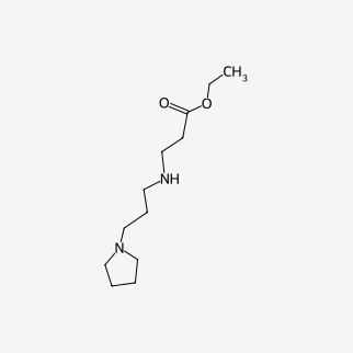 CCOC(=O)CCNCCCN1CCCC1